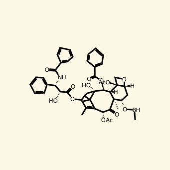 CBO[C@H]1C[C@H]2OC[C@@]2(OC(C)=O)[C@H]2[C@H](OC(=O)c3ccccc3)[C@]3(O)CC(OC(=O)[C@H](O)[C@@H](NC(=O)c4ccccc4)c4ccccc4)C(C)=C([C@@H](OC(C)=O)C(=O)[C@]12C)C3(C)C